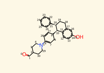 O=CC1CCN(C2=CCC([C@@H]3c4ccc(O)cc4CC[C@@H]3c3ccccc3)C=C2)CC1